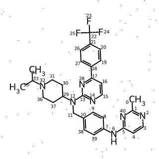 Cc1nccc(Nc2ccc(CN(c3nccc(-c4ccc(C(F)(F)F)cc4)n3)C3CCN(C(C)C)CC3)cc2)n1